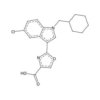 O=C(O)c1coc(-c2cn(CC3CCCCC3)c3ccc(Cl)cc23)n1